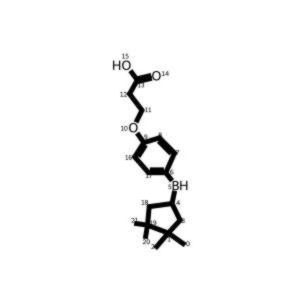 CC1(C)CC(Bc2ccc(OCCC(=O)O)cc2)CC1(C)C